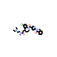 CCN(CC)CCN(C)C(=O)CC1CCCN(C(=O)c2ccc(NC(=O)c3ccccc3C)nc2)c2ccc(Cl)cc21